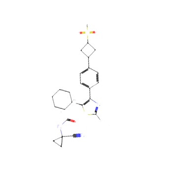 Cc1nc(-c2ccc(C3CC(S(C)(=O)=O)C3)cc2)c([C@@H]2CCCC[C@H]2C(=O)NC2(C#N)CC2)s1